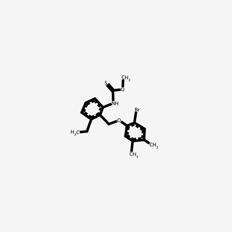 CCc1cccc(NC(=S)OC)c1COc1cc(C)c(C)cc1Br